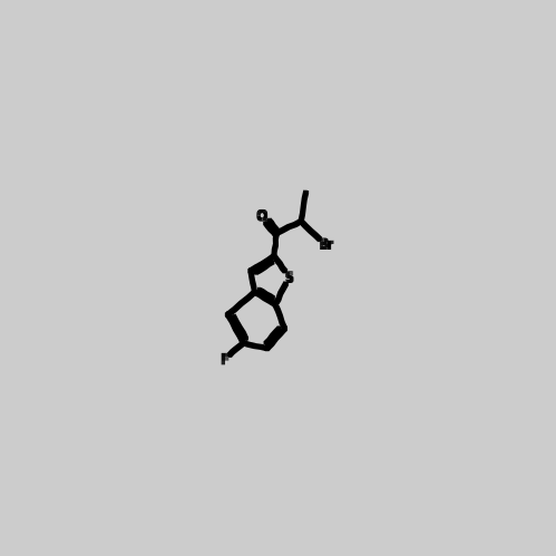 CC(Br)C(=O)c1cc2cc(F)ccc2s1